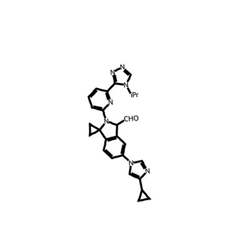 CC(C)n1cnnc1-c1cccc(N2C(C=O)c3cc(-n4cnc(C5CC5)c4)ccc3C23CC3)n1